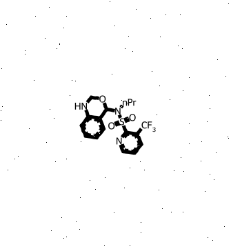 CCCN(C1OCNc2ccccc21)S(=O)(=O)c1ncccc1C(F)(F)F